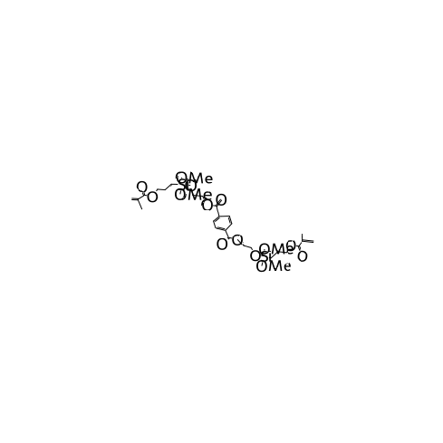 C=C(C)C(=O)OCCC[Si](OC)(OC)OCCOC(=O)c1ccc(C(=O)OCCO[Si](CCCOC(=O)C(=C)C)(OC)OC)cc1